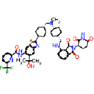 CN(C[C@H]1CC[C@H](c2nc3cc(C(C)(C)O)c(NC(=O)c4cccc(C(F)(F)F)n4)cc3s2)CC1)[C@H]1CC[C@@H](CNc2cccc3c2C(=O)N(C2CCC(=O)NC2=O)C3=O)CC1